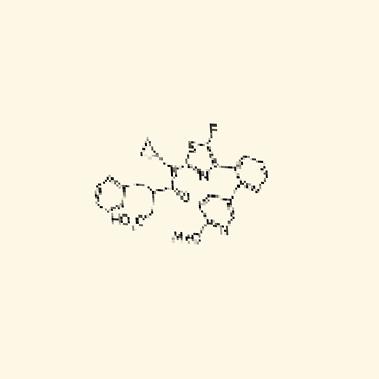 COc1ccc(-c2ccccc2-c2nc(N(C(=O)[C@@H](CC(=O)O)Cc3ccccc3)C3CC3)sc2F)cn1